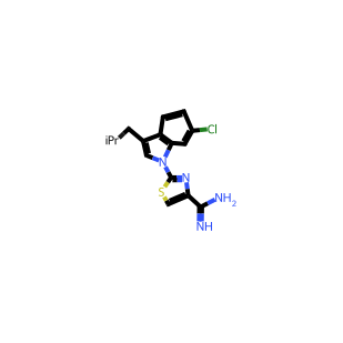 CC(C)Cc1cn(-c2nc(C(=N)N)cs2)c2cc(Cl)ccc12